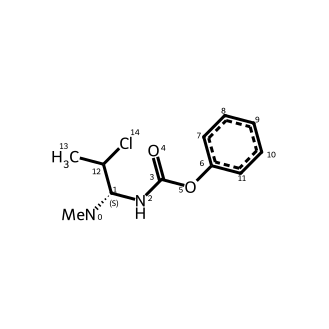 CN[C@@H](NC(=O)Oc1ccccc1)C(C)Cl